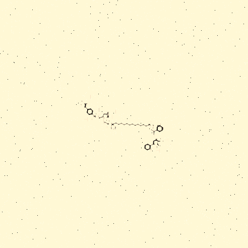 Cc1ncsc1-c1ccc(C(C)NC(=O)C2CC(O)CN2C(=O)C(NC(=O)CCCCCCCCCCCCC(=O)N(C)CC(COc2cc(-c3ccccc3O)nnc2N)c2ccccc2)C(C)(C)C)cc1